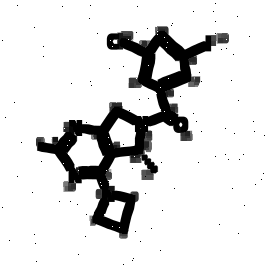 Cc1nc2c(c(N3CCC3)n1)[C@@H](C)N(C(=O)c1cc(F)cc(Cl)c1)C2